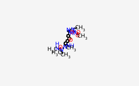 CCCN(Cc1ncc(-c2ccc3c(c2)COc2cc4c(NC)c(/N=C/CN(C(=O)CNC)[C@@H](C)CC)ccc4cc2-3)[nH]1)C(=O)CNC(=O)OC